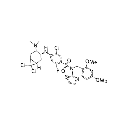 COc1ccc(CN(c2nccs2)S(=O)(=O)c2cc(Cl)c(N[C@H]3C[C@@H]4C(CC3N(C)C)C4(Cl)Cl)cc2F)c(OC)c1